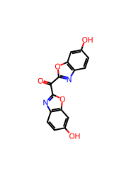 O=C(c1nc2ccc(O)cc2o1)c1nc2ccc(O)cc2o1